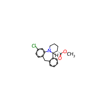 COC(=O)[C@H]1CCCN2c3cc(Cl)ccc3Cc3ccccc3[C@@H]12